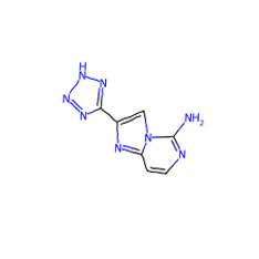 Nc1nccc2nc(-c3nn[nH]n3)cn12